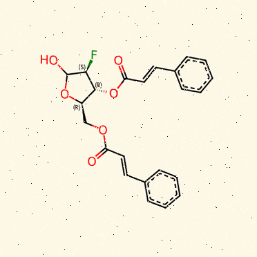 O=C(C=Cc1ccccc1)OC[C@H]1OC(O)[C@@H](F)[C@@H]1OC(=O)C=Cc1ccccc1